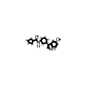 COc1ccc2[nH]cc([C@@H]3CCC[C@H](NC(=O)C4CCCC4)C3)c2c1